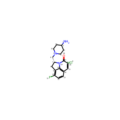 Cl.NC1CCN(C[C@H]2Cc3c(F)ccc4ccc(=O)n2c34)CC1